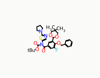 CC1(C)COC(c2cc(C(=O)N(C(=O)OC(C)(C)C)c3cnc(N4CCCC4)s3)cc(F)c2OCc2ccccc2)OC1